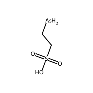 O=S(=O)(O)CC[AsH2]